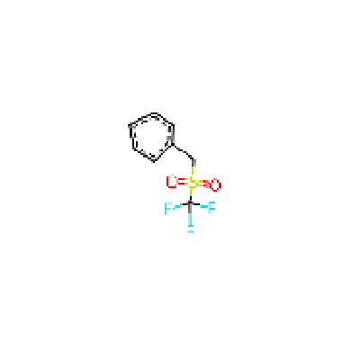 O=S(=O)(Cc1ccccc1)C(F)(F)F